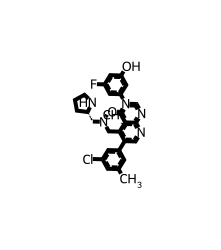 Cc1cc(Cl)cc(-c2cnc3ncn(-c4cc(O)cc(F)c4)c(=O)c3c2CN(C)C[C@@H]2CCCN2)c1